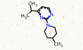 CC1CCN(c2nccc(C(C)C)n2)CC1